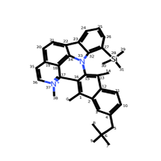 Cc1c2cc(CC(C)(C)C)ccc2c(C)c2c1c1c3c(ccc4c5cccc([Si](C)(C)C)c5n2c43)cc[n+]1C